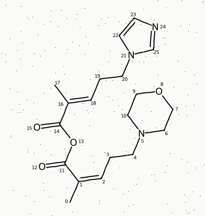 CC(=CCCN1CCOCC1)C(=O)OC(=O)C(C)=CCCn1ccnc1